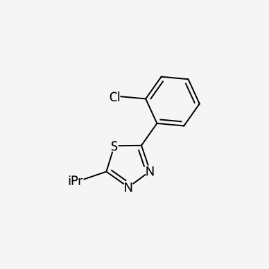 CC(C)c1nnc(-c2ccccc2Cl)s1